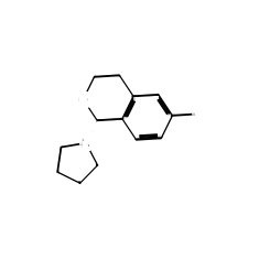 Fc1ccc2c(c1)CCO[C@H]2N1CCCC1